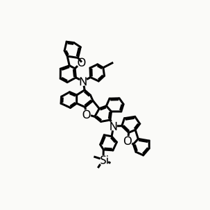 Cc1ccc(N(c2cc3c(oc4cc(N(c5ccc([Si](C)(C)C)cc5)c5cccc6c5oc5ccccc56)c5ccccc5c43)c3ccccc23)c2cccc3c2oc2ccccc23)cc1